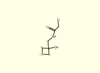 O=C(CCl)NCC1(O)COC1